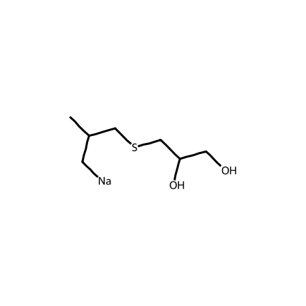 CC([CH2][Na])CSCC(O)CO